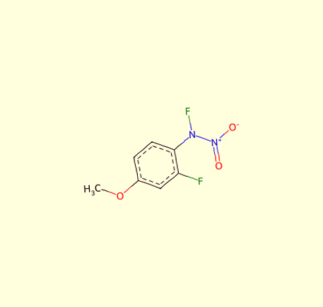 COc1ccc(N(F)[N+](=O)[O-])c(F)c1